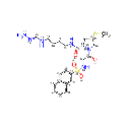 CS[C@@H]1C[C@@H](C(=O)NCCCCNC=NN)N(C(=O)CNS(=O)(=O)c2ccc3ccccc3c2)C1